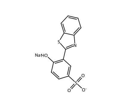 O=S(=O)([O-])c1ccc(O)c(-c2nc3ccccc3s2)c1.[Na+]